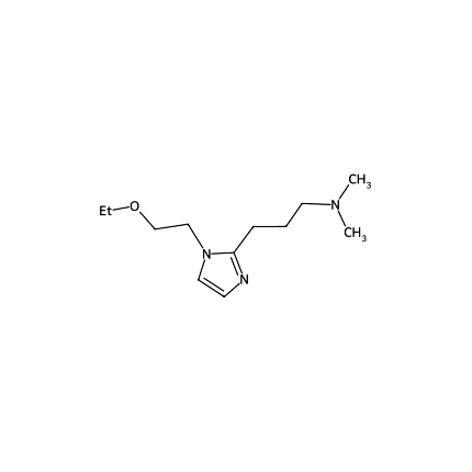 CCOCCn1ccnc1CCCN(C)C